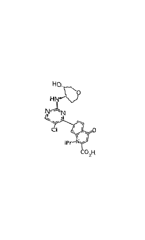 CC(C)n1c(C(=O)O)cc(=O)c2ccc(-c3nc(N[C@@H]4CCOC[C@H]4O)ncc3Cl)cc21